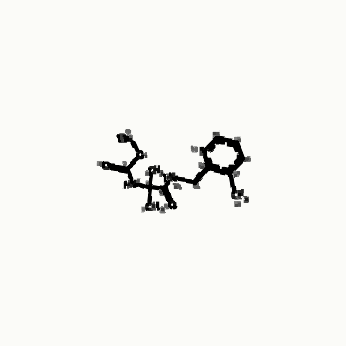 CC(C)(C)OC(=O)NC(C)(C)C(=O)NCc1ncccc1C(F)(F)F